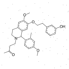 COc1ccc(C2c3cc(OCCc4cccc(O)c4)c(OC)cc3CCN2CCC(C)=O)c(C)c1